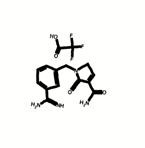 N=C(N)c1cccc(CN2CC=C(C(N)=O)C2=O)c1.O=C(O)C(F)(F)F